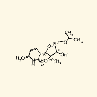 C=C1C=CN([C@@H]2O[C@H](COC(C)C)[C@@H](O)[C@@]2(C)O)C(=O)N1